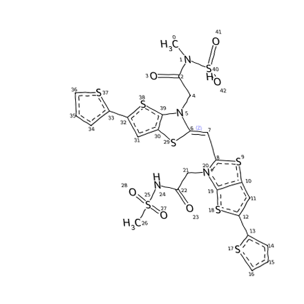 CN(C(=O)CN1/C(=C/c2sc3cc(-c4cccs4)sc3[n+]2CC(=O)NS(C)(=O)=O)Sc2cc(-c3cccs3)sc21)[SH](=O)=O